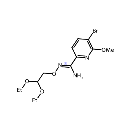 CCOC(CO/N=C(\N)c1ccc(Br)c(OC)n1)OCC